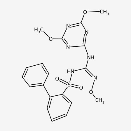 CON=C(Nc1nc(OC)nc(OC)n1)NS(=O)(=O)c1ccccc1-c1ccccc1